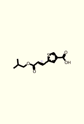 CC(C)COC(=O)/C=C/c1cc(C(=O)O)cs1